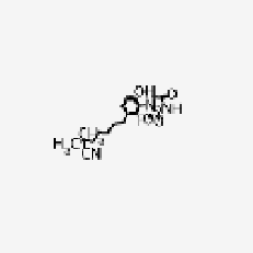 CC(C)(C#N)CCCCCc1ccc(O)c(N2CC(=O)NS2(=O)=O)c1F